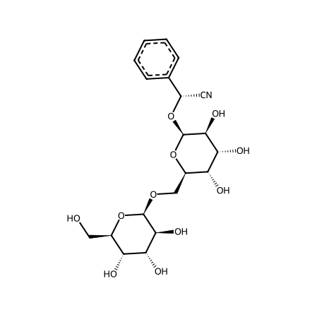 N#C[C@H](O[C@@H]1O[C@H](CO[C@@H]2O[C@H](CO)[C@@H](O)[C@@H](O)[C@@H]2O)[C@@H](O)[C@@H](O)[C@@H]1O)c1ccccc1